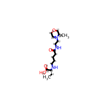 CC[C@@H](NCCCCC(=O)NCCN1CCOC[C@@H]1C)C(=O)O